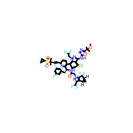 COC(C)(C)c1nnc(Nc2nn(CC(F)F)c3c(-c4ccc(C#CC(C)(C)S(=O)(=O)C5CC5)nc4[C@H](Cc4cc(F)cc(F)c4)NC(=O)Cn4nc(C(F)F)c5c4C(F)(F)[C@@H]4C[C@H]54)ccc(Cl)c23)o1